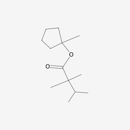 CC(C)C(C)(C)C(=O)OC1(C)CCCC1